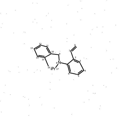 C=Cc1ccccc1N(Cc1ccccc1C)C(C)C